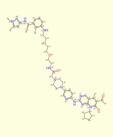 CC(=O)c1c(C)c2cnc(Nc3ccc(N4CCN(CC(=O)NCCOCCOCCNc5cccc(C(=O)Nc6cc(C)n(C)n6)c5C)CC4)cn3)nc2n(C2CCCC2)c1=O